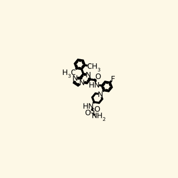 Cc1cccc(C)c1-c1nc(C(=O)Nc2cc(F)ccc2N2CCC(NS(N)(=O)=O)CC2)cn2ccnc12